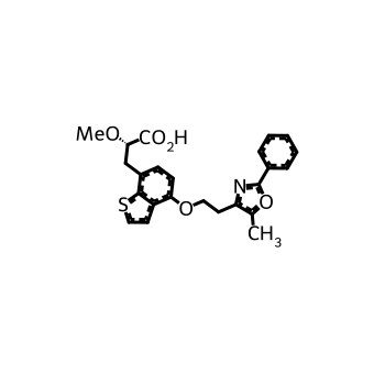 CO[C@@H](Cc1ccc(OCCc2nc(-c3ccccc3)oc2C)c2ccsc12)C(=O)O